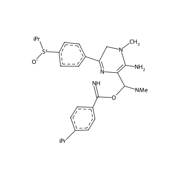 CNC(OC(=N)c1ccc(C(C)C)cc1)C1=C(N)N(C)CC(c2ccc([S+]([O-])C(C)C)cc2)=N1